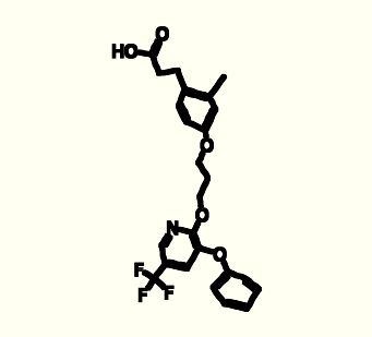 Cc1cc(OCCCOc2ncc(C(F)(F)F)cc2Oc2ccccc2)ccc1CCC(=O)O